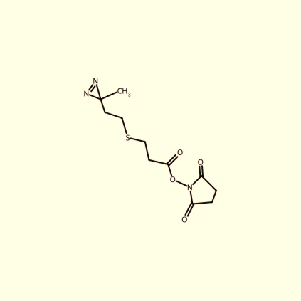 CC1(CCSCCC(=O)ON2C(=O)CCC2=O)N=N1